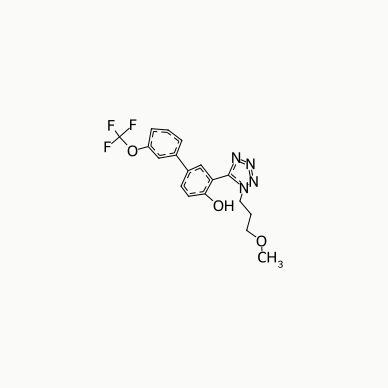 COCCCn1nnnc1-c1cc(-c2cccc(OC(F)(F)F)c2)ccc1O